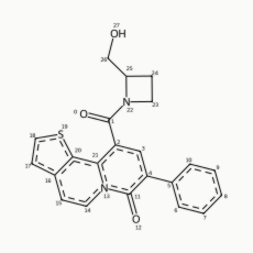 O=C(c1cc(-c2ccccc2)c(=O)n2ccc3ccsc3c12)N1CCC1CO